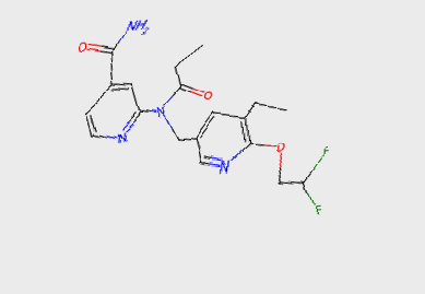 CCC(=O)N(Cc1cnc(OCC(F)F)c(CC)c1)c1cc(C(N)=O)ccn1